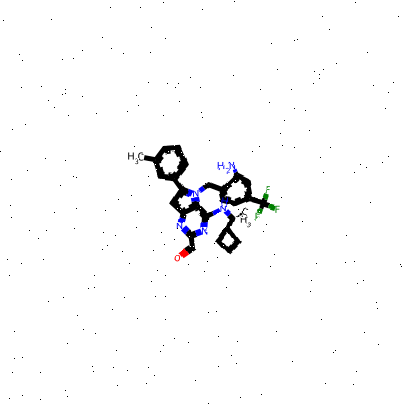 Cc1cccc(-c2cc3nc(C=O)nc(N[C@H](C)C4CCC4)c3n2Cc2ccc(C(F)(F)F)cc2N)c1